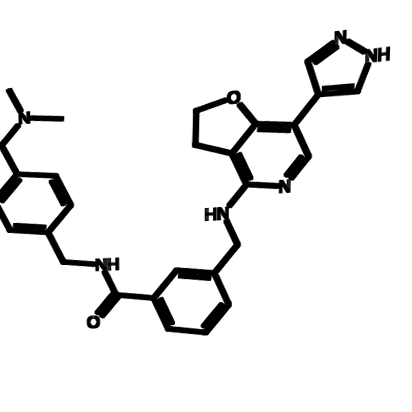 CN(C)Cc1ccc(CNC(=O)c2cccc(CNc3ncc(-c4cn[nH]c4)c4c3CCO4)c2)cc1